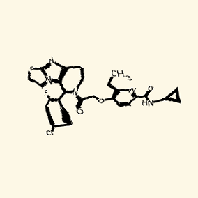 CCc1nc(C(=O)NC2CC2)ccc1OCC(=O)N1CCc2nc3n(c2C1c1ccc(Cl)cc1F)CCS3